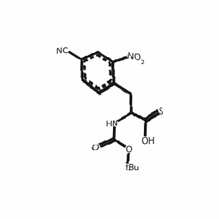 CC(C)(C)OC(=O)NC(Cc1ccc(C#N)cc1[N+](=O)[O-])C(O)=S